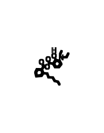 CCCCCCc1ccccc1C(=O)OC(=O)c1cccc(N(CC)CC)c1O